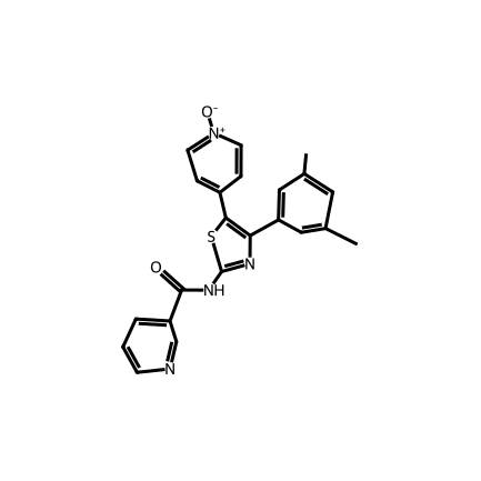 Cc1cc(C)cc(-c2nc(NC(=O)c3cccnc3)sc2-c2cc[n+]([O-])cc2)c1